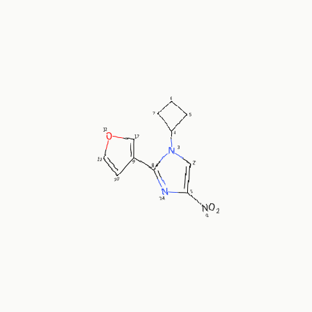 O=[N+]([O-])c1cn(C2CCC2)c(-c2ccoc2)n1